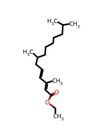 CCOC(=O)/C=C(C)/C=C/CC(C)CCCCCC(C)C